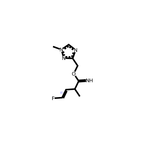 CC(/C=C/F)C(=N)OCc1ncn(C)n1